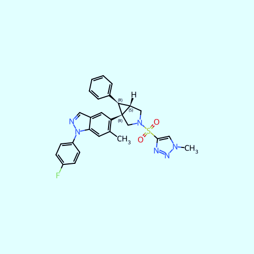 Cc1cc2c(cnn2-c2ccc(F)cc2)cc1[C@]12CN(S(=O)(=O)c3cn(C)nn3)C[C@H]1[C@@H]2c1ccccc1